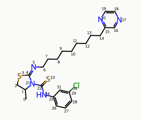 CC1CS/C(=N/CCCCCCCCCc2cnccn2)N1C(=S)Nc1cccc(Cl)c1